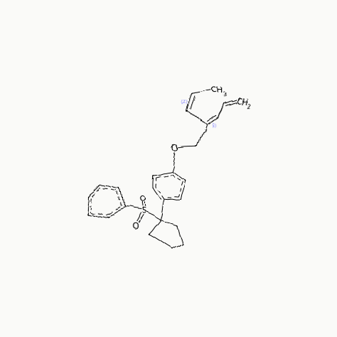 C=C/C=C(\C=C/C)COc1ccc(C2(S(=O)(=O)c3ccccc3)CCCC2)cc1